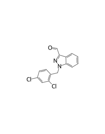 O=Cc1nn(Cc2ccc(Cl)cc2Cl)c2ccccc12